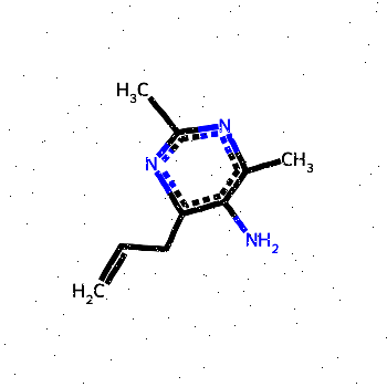 C=CCc1nc(C)nc(C)c1N